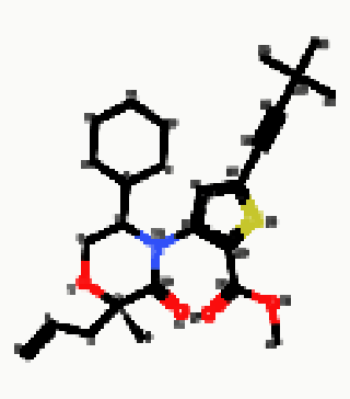 C=CC[C@@]1(C)OC[C@@H](C2CCCCC2)N(c2cc(C#CC(C)(C)C)sc2C(=O)OC)C1=O